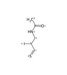 CC(=O)NCC(I)[C]=S